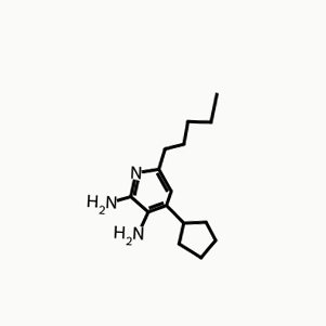 CCCCCc1cc(C2CCCC2)c(N)c(N)n1